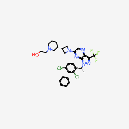 C[C@H](c1ccc(Cl)cc1Cl)n1nc(C(F)(F)F)c2ncc(N3CC([C@H]4CCCN(CCO)C4)C3)nc21.c1ccccc1